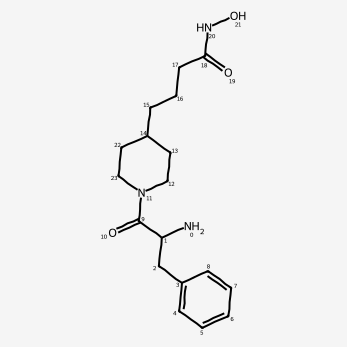 NC(Cc1ccccc1)C(=O)N1CCC(CCCC(=O)NO)CC1